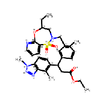 CCOC(=O)CC(c1ccc(C)c(CN2CC(CC)Oc3ncccc3S2(=O)=O)c1)c1ccc2c(nnn2C)c1C